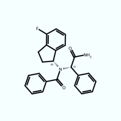 NC(=O)[C@H](c1ccccc1)N(C(=O)c1ccccc1)[C@@H]1CCc2c(F)cccc21